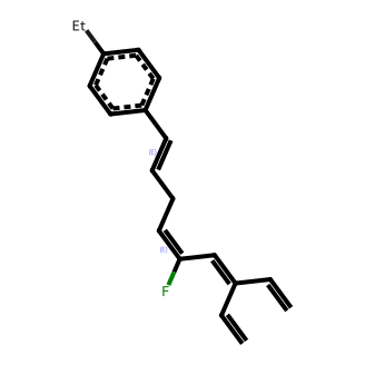 C=CC(C=C)=C/C(F)=C\C/C=C/c1ccc(CC)cc1